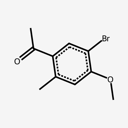 COc1cc(C)c(C(C)=O)cc1Br